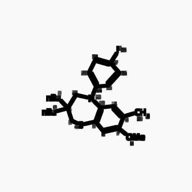 CCCCC1(CCCC)CSc2cc(OC)c(C)cc2N(c2ccc(F)cc2)C1